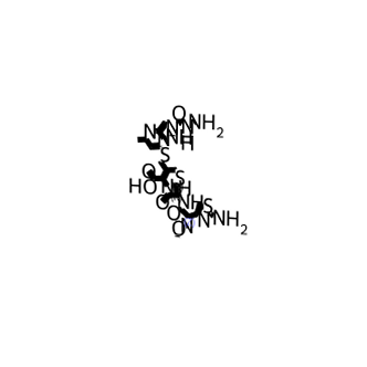 CO/N=C(\C(=O)N[C@@H]1C(=O)N2C(C(=O)O)=C(CSC3=CC(C)=NC4=CN(C(=O)NN)NN43)CS[C@H]12)c1csc(N)n1